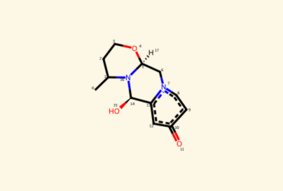 CC1CCO[C@H]2Cn3ccc(=O)cc3[C@@H](O)N12